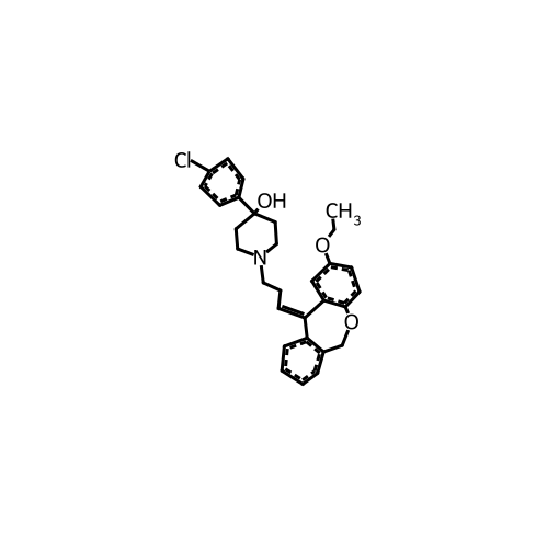 CCOc1ccc2c(c1)/C(=C\CCN1CCC(O)(c3ccc(Cl)cc3)CC1)c1ccccc1CO2